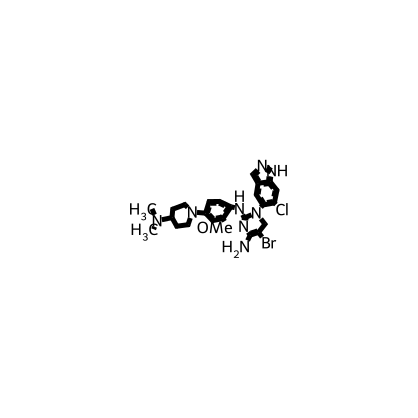 COc1cc(N2CCC(N(C)C)CC2)ccc1NC1=NC(N)=C(Br)CN1c1cc2cn[nH]c2cc1Cl